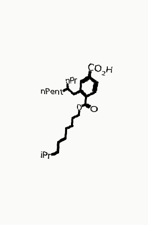 CCCCCC(CCC)Cc1cc(C(=O)O)ccc1C(=O)OCCCCCCCC(C)C